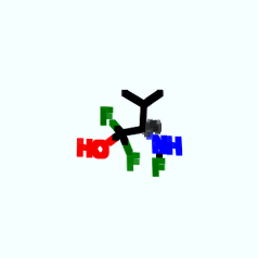 CC(C)[C@H](NF)C(O)(F)F